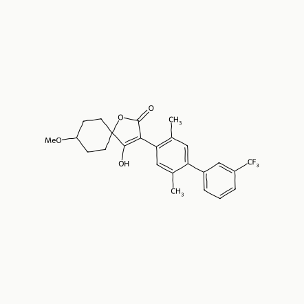 COC1CCC2(CC1)OC(=O)C(c1cc(C)c(-c3cccc(C(F)(F)F)c3)cc1C)=C2O